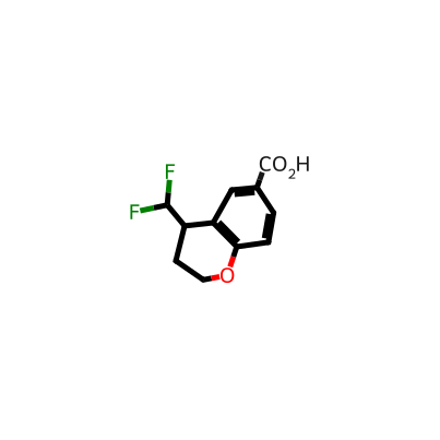 O=C(O)c1ccc2c(c1)C(C(F)F)CCO2